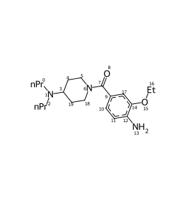 CCCN(CCC)C1CCN(C(=O)c2ccc(N)c(OCC)c2)CC1